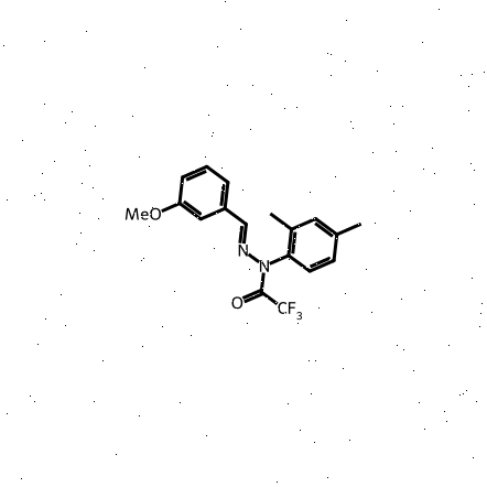 COc1cccc(C=NN(C(=O)C(F)(F)F)c2ccc(C)cc2C)c1